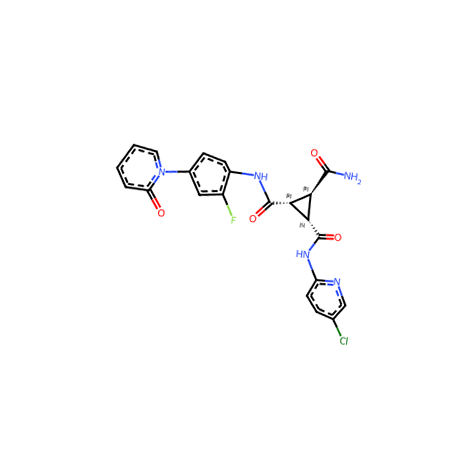 NC(=O)[C@@H]1[C@@H](C(=O)Nc2ccc(-n3ccccc3=O)cc2F)[C@H]1C(=O)Nc1ccc(Cl)cn1